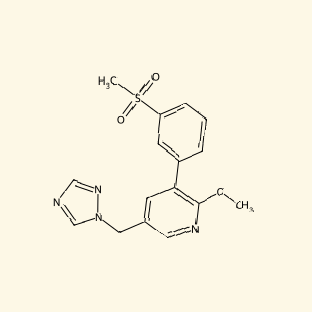 COc1ncc(Cn2cncn2)cc1-c1cccc(S(C)(=O)=O)c1